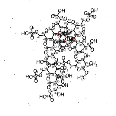 CO[C@H]1OC(COS(=O)(=O)O)[C@H](O[C@@H]2OC(C(=O)O)[C@H](O[C@@H]3OC(COS(=O)(=O)O)[C@H](O[C@@H]4OC(C(=O)O)[C@H](O[C@@H]5OC(COS(=O)(=O)O)[C@H](O[C@@H]6OC(C(=O)O)[C@H](O[C@@H]7OC(COS(=O)(=O)O)[C@H](O[C@@H]8OC(C(=O)O)[C@@H](O)C(O)[C@@H]8OS(=O)(=O)O)C(O)[C@@H]7C)C(O)[C@@H]6OS(=O)(=O)O)C(O)[C@@H]5C)C(O)[C@@H]4OS(=O)(=O)O)C(O)[C@@H]3C)C(O)[C@@H]2OS(=O)(=O)O)C(O)[C@@H]1C